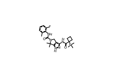 Cc1cccc(F)c1NC(=O)N1Cc2c(NC(=O)C3([Si](C)(C)C)CCC3)n[nH]c2C1(C)C